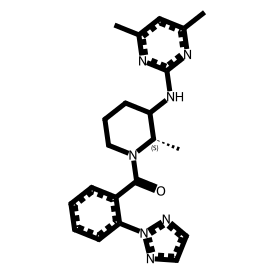 Cc1cc(C)nc(NC2CCCN(C(=O)c3ccccc3-n3nccn3)[C@H]2C)n1